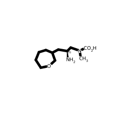 CN(C[C@@H](N)CC1CCCCOC1)C(=O)O